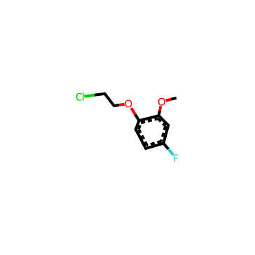 COc1cc(F)ccc1OCCCl